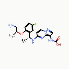 C[C@@H](CN)Oc1ccc(F)cc1[C@@H](C)Nc1ccn2ncc(NC(=O)O)c2n1